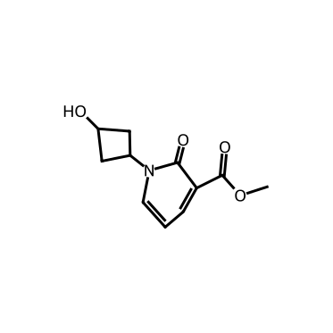 COC(=O)c1cccn(C2CC(O)C2)c1=O